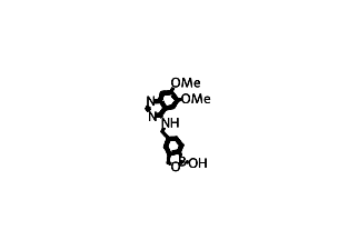 COc1cc2ncnc(NCc3ccc4c(c3)COB4O)c2cc1OC